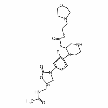 CC(=O)NC[C@H]1CN(c2ccc(N3CCNCC3SC(=O)SCCN3CCOCC3)c(F)c2)C(=O)O1